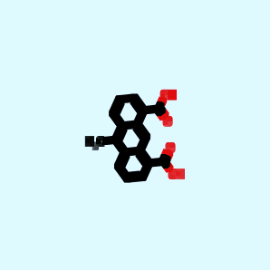 Cc1c2cccc(C(=O)O)c2cc2c(C(=O)O)cccc12